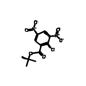 CC(C)(C)OC(=O)c1cc([N+](=O)[O-])cc([N+](=O)[O-])c1Cl